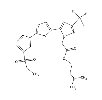 CCS(=O)(=O)c1cccc(-c2ccc(-c3cc(C(F)(F)F)nn3CC(=O)OCCN(C)C)s2)c1